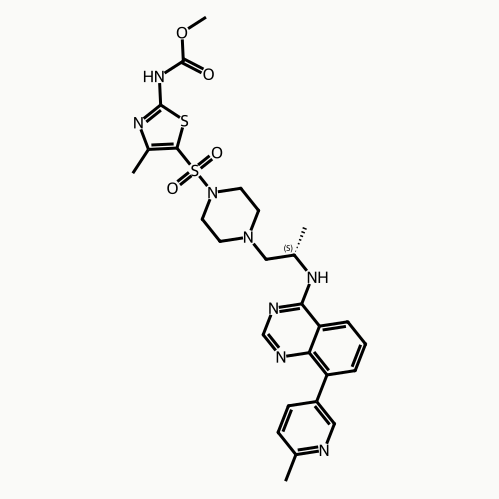 COC(=O)Nc1nc(C)c(S(=O)(=O)N2CCN(C[C@H](C)Nc3ncnc4c(-c5ccc(C)nc5)cccc34)CC2)s1